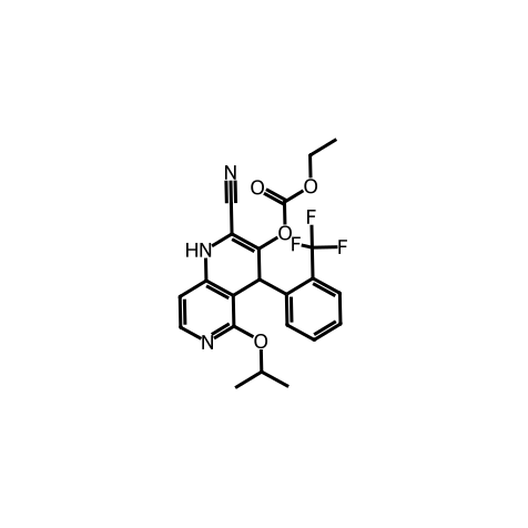 CCOC(=O)OC1=C(C#N)Nc2ccnc(OC(C)C)c2C1c1ccccc1C(F)(F)F